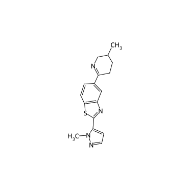 CC1CCC(c2ccc3sc(-c4ccnn4C)nc3c2)=NC1